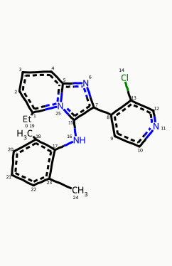 CCc1cccc2nc(-c3ccncc3Cl)c(Nc3c(C)cccc3C)n12